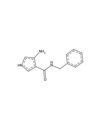 Nc1c[nH]cc1C(=O)NCc1ccccc1